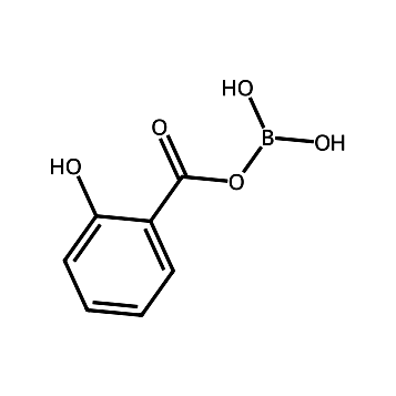 O=C(OB(O)O)c1ccccc1O